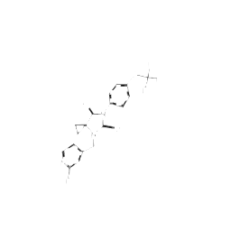 O=C1N(c2ccc(OC(F)(F)F)cc2)C(=O)C2(CC2)N1Cc1ccnc(F)c1